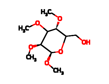 COC1[C@H](OC)C(CO)O[C@@H](OC)[C@H]1OC